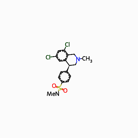 CNS(=O)(=O)c1ccc([C@@H]2CN(C)Cc3c(Cl)cc(Cl)cc32)cc1